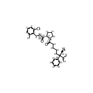 Cc1cccc(Cl)c1CNC(=O)[C@H]1CCCN1C(=O)CCCCC(C#N)(c1ccccc1)C(C)C